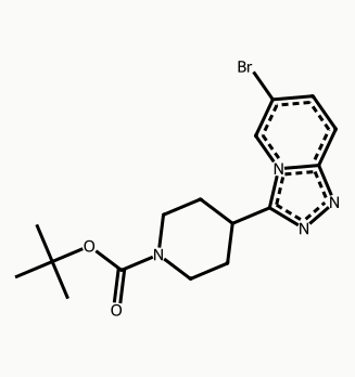 CC(C)(C)OC(=O)N1CCC(c2nnc3ccc(Br)cn23)CC1